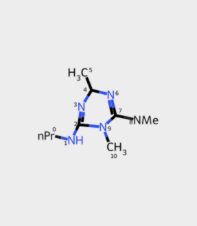 CCCNC1=NC(C)N=C(NC)N1C